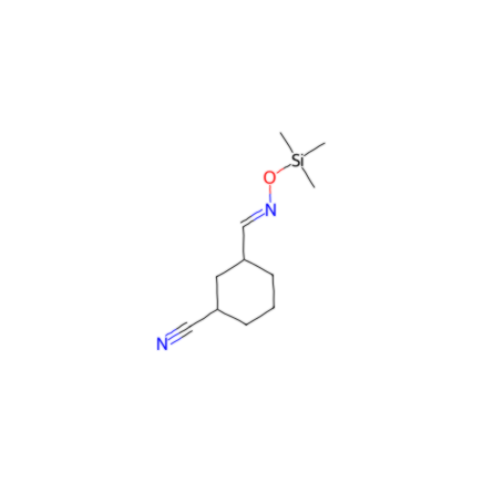 C[Si](C)(C)ON=CC1CCCC(C#N)C1